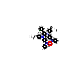 Cc1ccc(N2c3ccc(N(c4ccccc4)c4ccccc4)cc3B3c4cc(N(c5ccccc5)c5ccccc5)ccc4N(c4ccc(C)cc4)c4cc(-c5ccccc5F)cc2c43)cc1